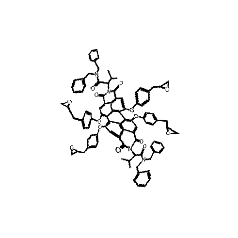 CC(C)C(C(=O)N(Cc1ccccc1)Cc1ccccc1)N1C(=O)c2cc(Oc3ccc(CC4CO4)cc3)c3c4c(Oc5ccc(CC6CO6)cc5)cc5c6c(cc(Oc7ccc(CC8CO8)cc7)c(c7c(Oc8ccc(CC9CO9)cc8)cc(c2c37)C1=O)c64)C(=O)N(C(C(=O)N(Cc1ccccc1)Cc1ccccc1)C(C)C)C5=O